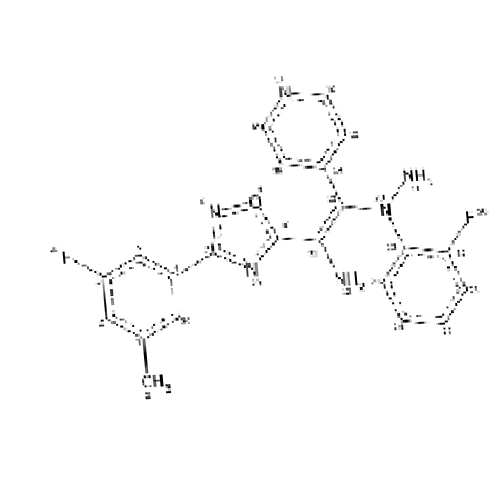 Cc1cc(F)cc(-c2noc(/C(N)=C(\c3ccncc3)N(N)c3ccccc3F)n2)c1